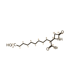 O=C(O)CCCCCCCCC(C(=O)Br)C1CC(=O)N1